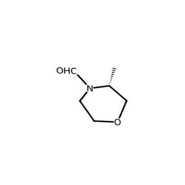 C[C@@H]1COCCN1C=O